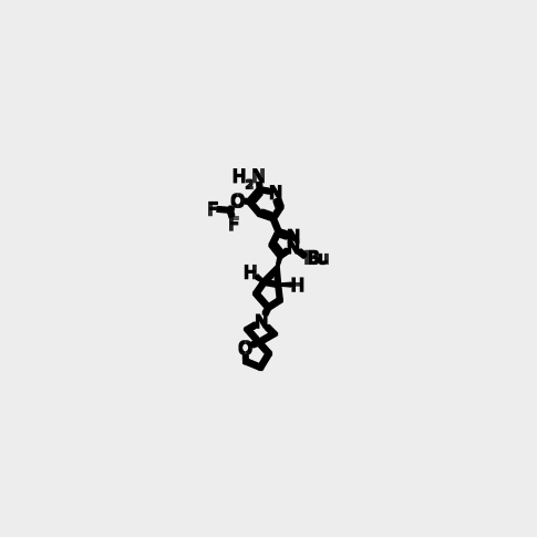 CCC(C)n1nc(-c2cnc(N)c(OC(F)F)c2)cc1[C@H]1[C@@H]2CC(N3CC4(CCCO4)C3)C[C@@H]21